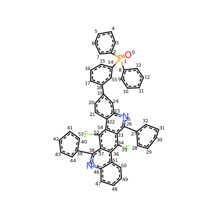 O=P(c1ccccc1)(c1ccccc1)c1cccc(-c2ccc3c(c2)nc(-c2ccccc2)c2c(F)c4c(c(-c5ccccc5)nc5ccccc54)c(F)c23)c1